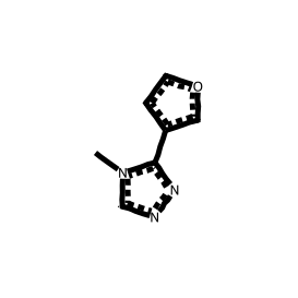 Cn1[c]nnc1-c1ccoc1